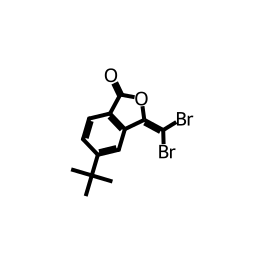 CC(C)(C)c1ccc2c(c1)C(=C(Br)Br)OC2=O